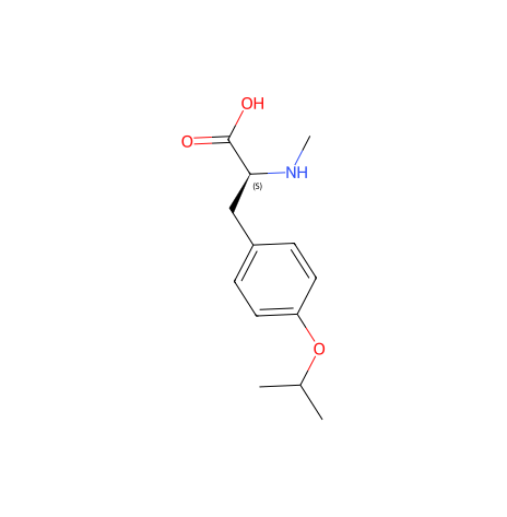 CN[C@@H](Cc1ccc(OC(C)C)cc1)C(=O)O